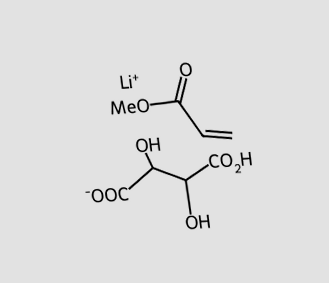 C=CC(=O)OC.O=C([O-])C(O)C(O)C(=O)O.[Li+]